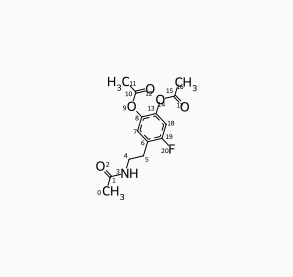 CC(=O)NCCc1cc(OC(C)=O)c(OC(C)=O)cc1F